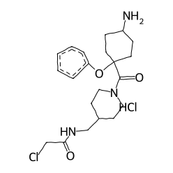 Cl.NC1CCC(Oc2ccccc2)(C(=O)N2CCC(CNC(=O)CCl)CC2)CC1